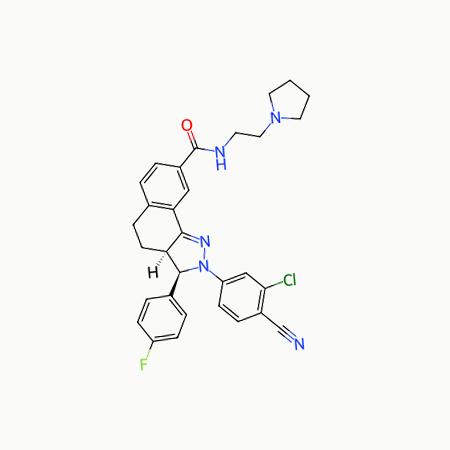 N#Cc1ccc(N2N=C3c4cc(C(=O)NCCN5CCCC5)ccc4CC[C@@H]3[C@@H]2c2ccc(F)cc2)cc1Cl